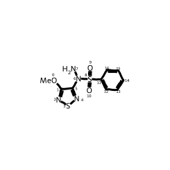 COc1nsnc1N(N)S(=O)(=O)c1ccccc1